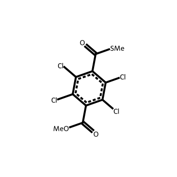 COC(=O)c1c(Cl)c(Cl)c(C(=O)SC)c(Cl)c1Cl